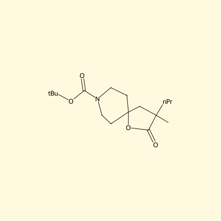 CCCC1(C)CC2(CCN(C(=O)OC(C)(C)C)CC2)OC1=O